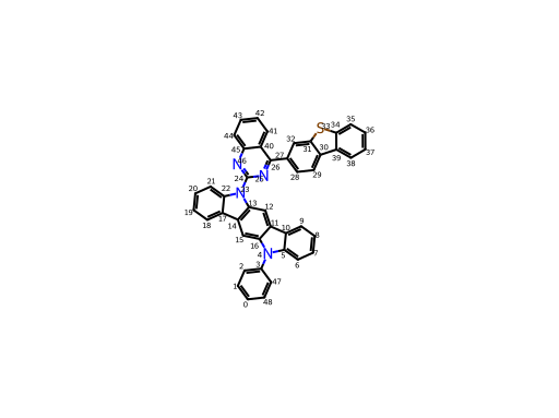 c1ccc(-n2c3ccccc3c3cc4c(cc32)c2ccccc2n4-c2nc(-c3ccc4c(c3)sc3ccccc34)c3ccccc3n2)cc1